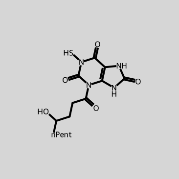 CCCCCC(O)CCC(=O)n1c(=O)n(S)c(=O)c2[nH]c(=O)[nH]c21